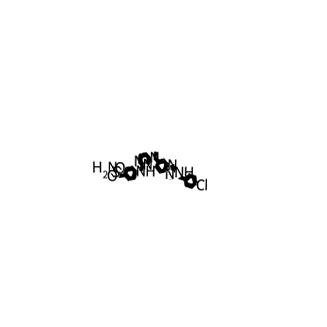 CN(c1ccc2c(c1)nc(NCc1ccc(Cl)cc1)n2C)c1ccnc(Nc2ccc(CS(N)(=O)=O)cc2)n1